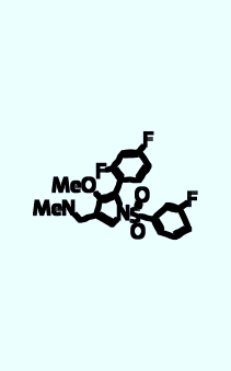 CNCc1cn(S(=O)(=O)c2cccc(F)c2)c(-c2ccc(F)cc2F)c1OC